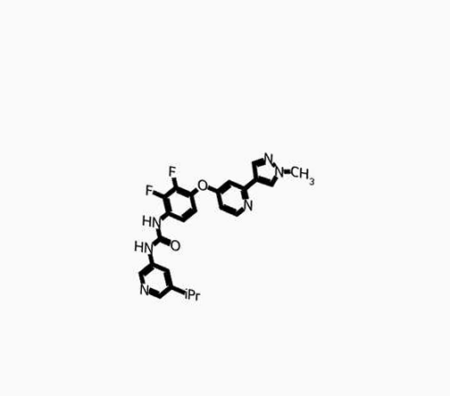 CC(C)c1cncc(NC(=O)Nc2ccc(Oc3ccnc(-c4cnn(C)c4)c3)c(F)c2F)c1